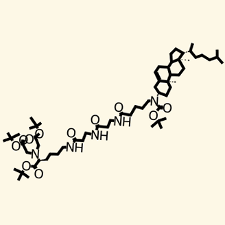 CC(C)CCCC(C)[C@H]1CCC2C3CC=C4C[C@@H](N(CCCCC(=O)NCCC(=O)NCCC(=O)NCCCC[C@@H](C(=O)OC(C)(C)C)N(CC(=O)OC(C)(C)C)CC(=O)OC(C)(C)C)C(=O)OC(C)(C)C)CC[C@]4(C)C3CC[C@@]21C